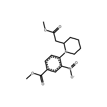 COC(=O)CC1CCCCN1c1ccc(C(=O)OC)cc1[N+](=O)[O-]